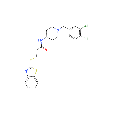 O=C(CCSc1nc2ccccc2s1)NC1CCN(Cc2ccc(Cl)c(Cl)c2)CC1